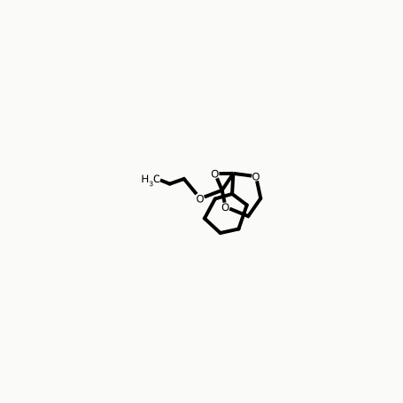 CCCOC12OCCOC1(C1CCCCC1)O2